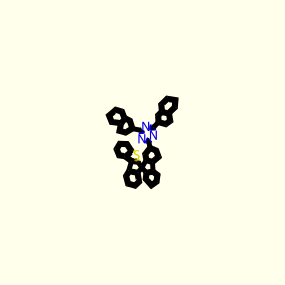 c1ccc2c(c1)-c1ccc(-c3nc(-c4ccc5ccccc5c4)nc(-c4ccc5ccccc5c4)n3)cc1C21c2ccccc2-c2c1sc1ccccc21